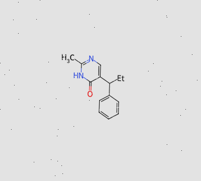 CCC(c1ccccc1)c1cnc(C)[nH]c1=O